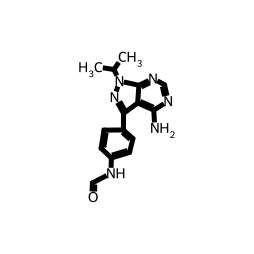 CC(C)n1nc(-c2ccc(NC=O)cc2)c2c(N)ncnc21